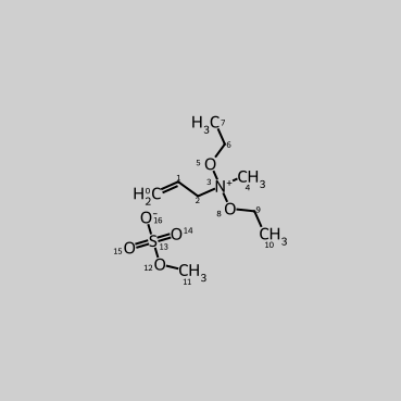 C=CC[N+](C)(OCC)OCC.COS(=O)(=O)[O-]